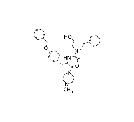 CN1CCN(C(=O)C(Cc2ccc(OCc3ccccc3)cc2)NC(=O)N(CCO)CCc2ccccc2)CC1